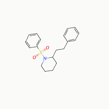 O=S(=O)(c1ccccc1)N1CCCCC1CCc1ccccc1